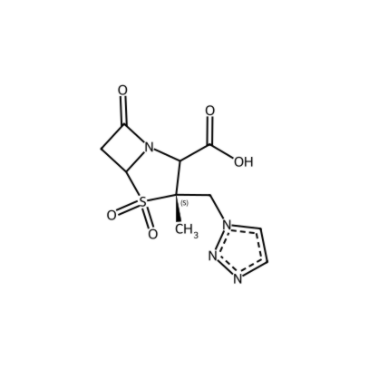 C[C@]1(Cn2ccnn2)C(C(=O)O)N2C(=O)CC2S1(=O)=O